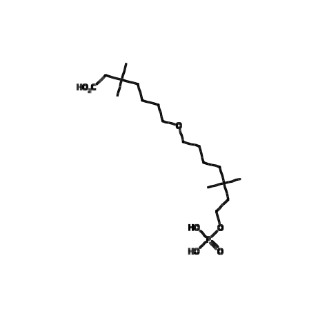 CC(C)(CCCCOCCCCC(C)(C)CC(=O)O)CCOP(=O)(O)O